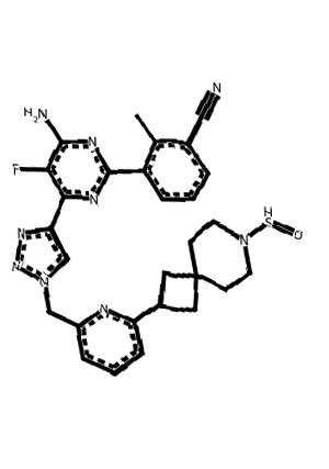 Cc1c(C#N)cccc1-c1nc(N)c(F)c(-c2cn(Cc3cccc(C4CC5(CCN([SH]=O)CC5)C4)n3)nn2)n1